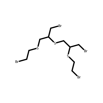 BrCCSCC(CBr)SCC(CBr)SCCBr